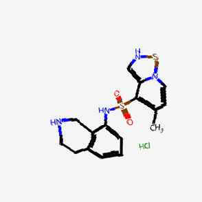 CC1=C(S(=O)(=O)Nc2cccc3c2CNCC3)C2=CNSN2C=C1.Cl